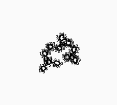 c1ccc(-c2cc(-c3ccccc3)nc(-c3cccc(-c4cccc(-c5cccc(-n6c7ccccc7c7ccc(-c8cccc(-n9c%10ccccc%10c%10ccccc%109)c8)cc76)c5)c4)c3)n2)cc1